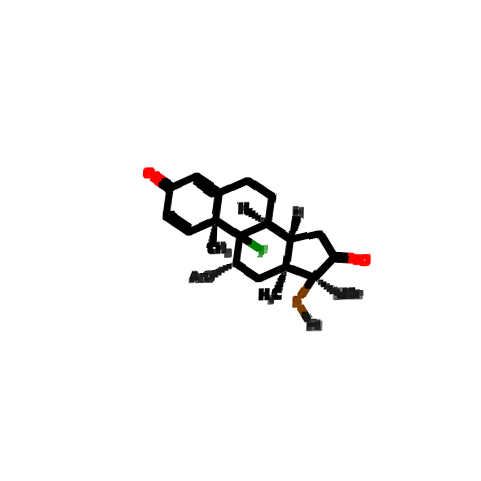 CCS[C@]1(SC)C(=O)C[C@H]2[C@@H]3CCC4=CC(=O)C=C[C@]4(C)C3(F)[C@@H](OC(C)=O)C[C@@]21C